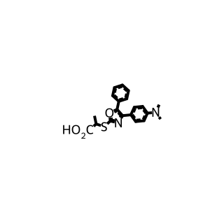 CC(Sc1nc(-c2ccc(N(C)C)cc2)c(-c2ccccc2)o1)C(=O)O